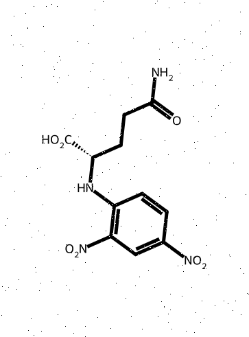 NC(=O)CC[C@H](Nc1ccc([N+](=O)[O-])cc1[N+](=O)[O-])C(=O)O